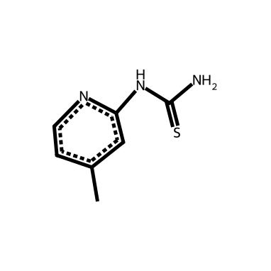 Cc1ccnc(NC(N)=S)c1